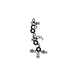 Cn1c(COc2ccc(CC3SC(=O)NC3=O)cc2)nc2ccc(Sc3cc(C(C)(C)C)c(O)c(C(C)(C)C)c3)cc21